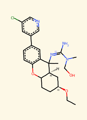 CCO[C@H]1CCC2Oc3ccc(-c4cncc(Cl)c4)cc3C(C)(/N=C(/N)N(C)CO)[C@H]2C1